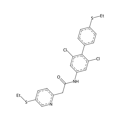 CCSc1ccc(-c2c(Cl)cc(NC(=O)Cc3ccc(SCC)cn3)cc2Cl)cc1